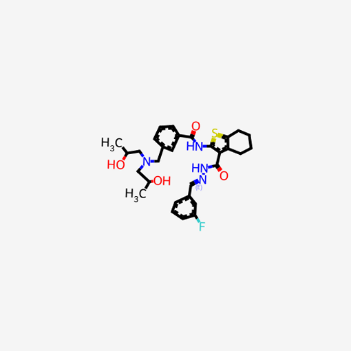 CC(O)CN(Cc1cccc(C(=O)Nc2sc3c(c2C(=O)N/N=C/c2cccc(F)c2)CCCC3)c1)CC(C)O